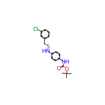 CC(C)(C)OC(=O)Nc1ccc(NSCc2cccc(Cl)c2)cc1